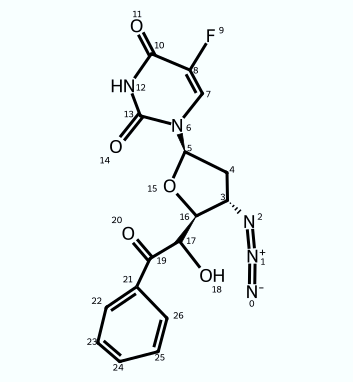 [N-]=[N+]=N[C@H]1C[C@H](n2cc(F)c(=O)[nH]c2=O)O[C@@H]1C(O)C(=O)c1ccccc1